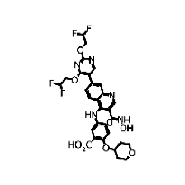 O=C(O)c1cc(Nc2c(C(=O)NO)cnc3cc(-c4cnc(OCC(F)F)nc4OCC(F)F)ccc23)ccc1OC1CCOCC1